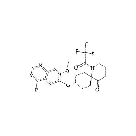 COc1cc2ncnc(Cl)c2cc1O[C@H]1CC[C@]2(CC1)C(=O)CCCN2C(=O)C(F)(F)F